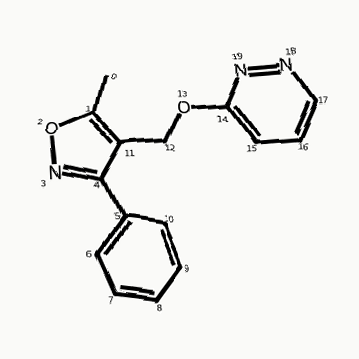 Cc1onc(-c2ccccc2)c1COc1cc[c]nn1